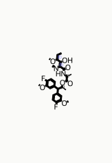 C=N/C(C(=O)N[C@@H](C)C(=O)O[C@@H](C)C(c1ccc(F)c(OC)c1)c1ccc(F)c(OC)c1)=C(O)\C(=C/C)OC